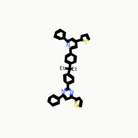 CCC(CC)(c1ccc(-c2cc(C3CC=CS3)cc(-c3ccccc3)n2)cc1)c1ccc(-c2nc(-c3ccccc3)cc(-c3cccs3)n2)cc1